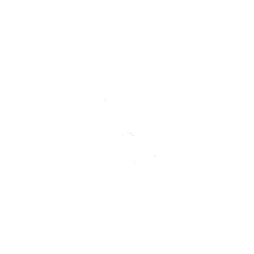 CC(CCn1cc2cc(C#C[Si](C)(C)C)ccc2n1)(C(=O)O)S(C)(=O)=O